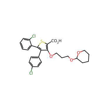 O=C(O)c1sc(-c2ccccc2Cl)c(-c2ccc(Cl)cc2)c1OCCCOC1CCCCO1